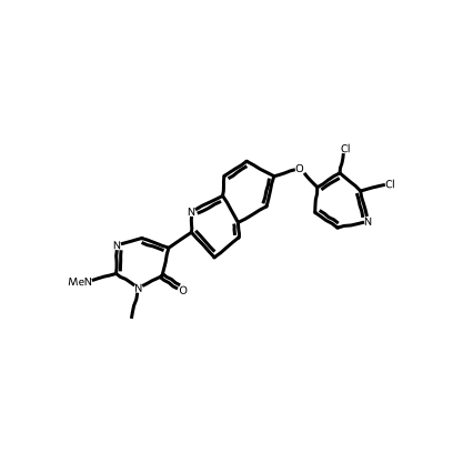 CNc1ncc(-c2ccc3cc(Oc4ccnc(Cl)c4Cl)ccc3n2)c(=O)n1C